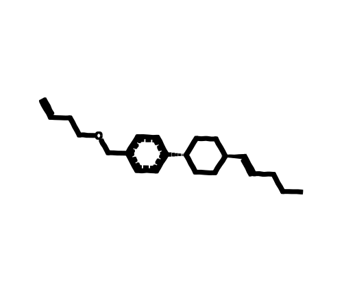 C=CCCOCc1ccc([C@H]2CC[C@H](C=CCCC)CC2)cc1